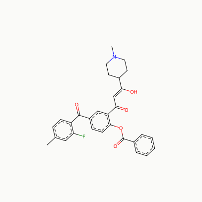 Cc1ccc(C(=O)c2ccc(OC(=O)c3ccccc3)c(C(=O)/C=C(\O)C3CCN(C)CC3)c2)c(F)c1